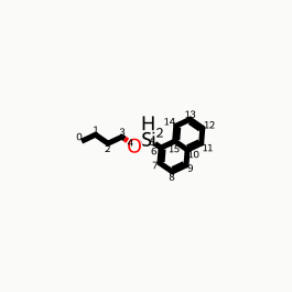 CCCCO[SiH2]c1cccc2ccccc12